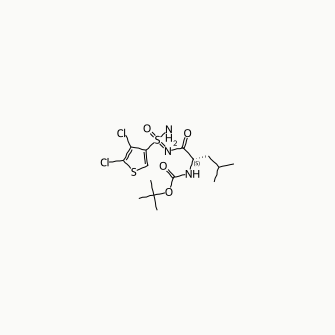 CC(C)C[C@H](NC(=O)OC(C)(C)C)C(=O)N=S(N)(=O)c1csc(Cl)c1Cl